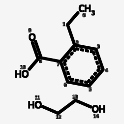 CCc1ccccc1C(=O)O.OCCO